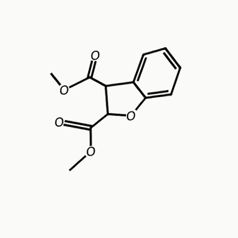 COC(=O)C1Oc2ccccc2C1C(=O)OC